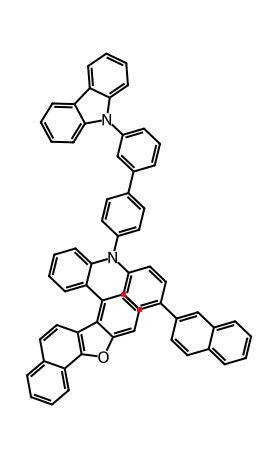 c1cc(-c2ccc(N(c3ccc(-c4ccc5ccccc5c4)cc3)c3ccccc3-c3cccc4oc5c6ccccc6ccc5c34)cc2)cc(-n2c3ccccc3c3ccccc32)c1